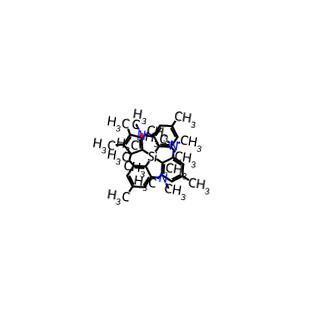 CC1=C(C)C(C)C([Si](c2c(C)cc(C)cc2N(C)C)(c2c(C)cc(C)cc2N(C)C)c2c(C)cc(C)cc2N(C)C)=C1C